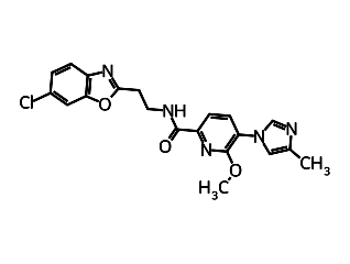 COc1nc(C(=O)NCCc2nc3ccc(Cl)cc3o2)ccc1-n1cnc(C)c1